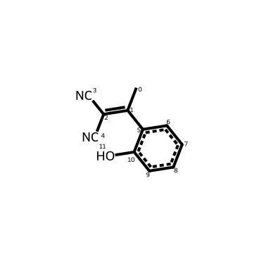 CC(=C(C#N)C#N)c1ccccc1O